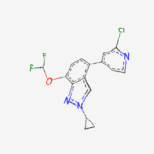 FC(F)Oc1ccc(-c2ccnc(Cl)c2)c2cn(C3CC3)nc12